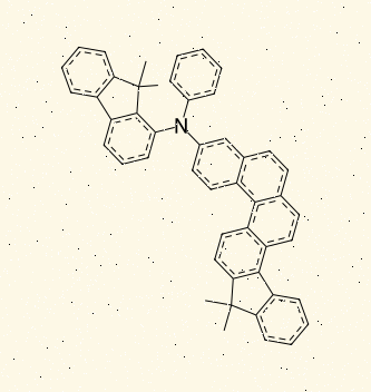 CC1(C)c2ccccc2-c2c1ccc1c2ccc2ccc3cc(N(c4ccccc4)c4cccc5c4C(C)(C)c4ccccc4-5)ccc3c21